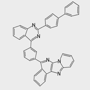 c1ccc(-c2ccc(-c3nc(-c4cccc(-c5nc6c(nc7ccccn76)c6ccccc56)c4)c4ccccc4n3)cc2)cc1